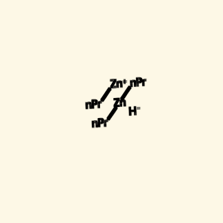 CC[CH2][Zn+].CC[CH2][Zn][CH2]CC.[H-]